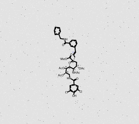 COC(=O)[C@@]1(C/C=C/c2cccc(C(=O)NCc3ccccc3)c2)C[C@H](OC(C)=O)[C@@H](NC(C)=O)[C@H]([C@H](OC(C)=O)[C@@H](CNC(=O)c2cc(Cl)c(O)c(Cl)c2)OC(C)=O)O1